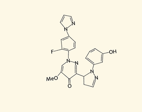 COc1cn(-c2ccc(-n3cccn3)cc2F)nc(C2CC=NN2c2cccc(O)c2)c1=O